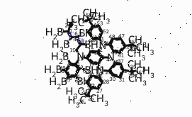 B/C(C#C)=C(B)/C(B)=C(/B)CN(c1cc2c3c(c1)N(c1ccc(C(C)(C)C)cc1)c1ccc(C(C)(C)C)cc1N3c1cc(C(C)(C)C)ccc1N2c1ccc(C(C)(C)C)cc1)c1c(B)c(B)c(B)c(B)c1B